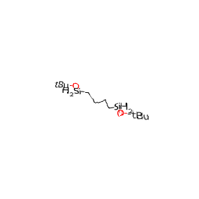 CC(C)(C)O[SiH2]CCCC[SiH2]OC(C)(C)C